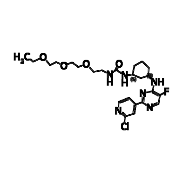 CCOCCOCCOCCNC(=O)N[C@H]1CCC[C@@H](Nc2nc(-c3ccnc(Cl)c3)ncc2F)C1